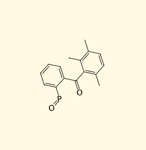 Cc1ccc(C)c(C(=O)c2ccccc2P=O)c1C